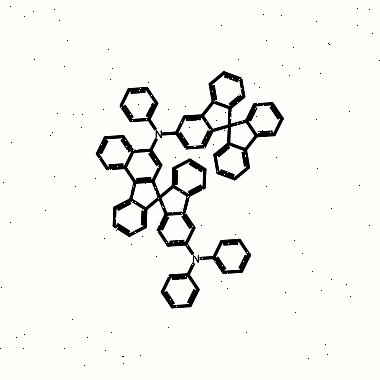 c1ccc(N(c2ccccc2)c2ccc3c(c2)-c2ccccc2C32c3ccccc3-c3c2cc(N(c2ccccc2)c2ccc4c(c2)-c2ccccc2C42c4ccccc4-c4ccccc42)c2ccccc32)cc1